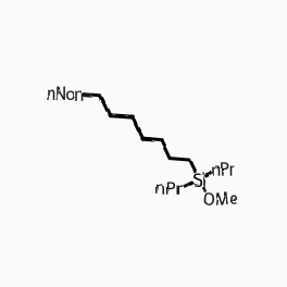 CCCCCCCCCCCCCCCC[Si](CCC)(CCC)OC